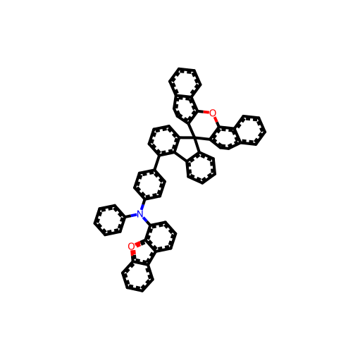 c1ccc(N(c2ccc(-c3cccc4c3-c3ccccc3C43c4ccc5ccccc5c4Oc4c3ccc3ccccc43)cc2)c2cccc3c2oc2ccccc23)cc1